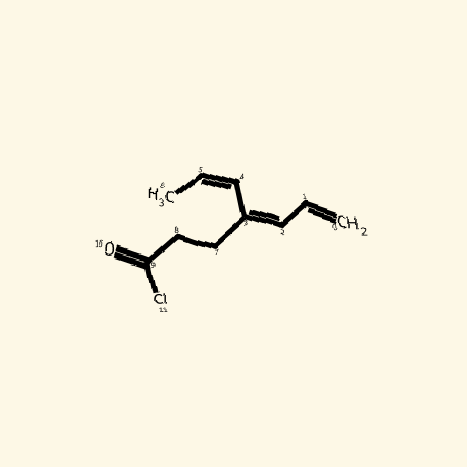 C=C/C=C(\C=C/C)CCC(=O)Cl